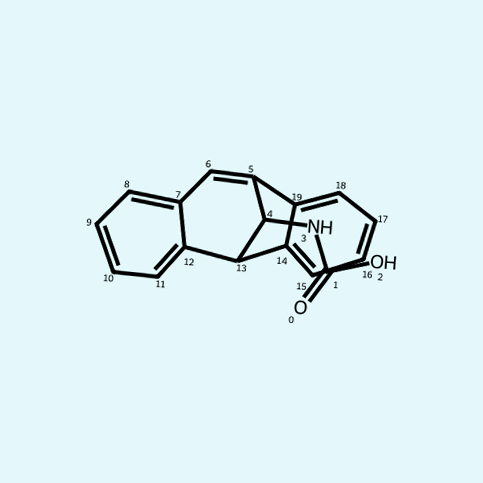 O=C(O)NC1C2=Cc3ccccc3C1c1ccccc12